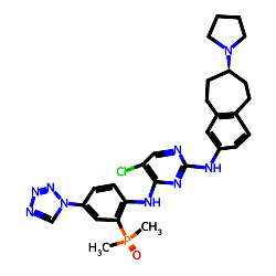 CP(C)(=O)c1cc(-n2cnnn2)ccc1Nc1nc(Nc2ccc3c(c2)CC[C@@H](N2CCCC2)CC3)ncc1Cl